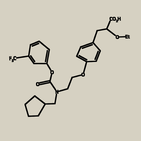 CCOC(Cc1ccc(OCCN(CC2CCCC2)C(=O)Oc2cccc(C(F)(F)F)c2)cc1)C(=O)O